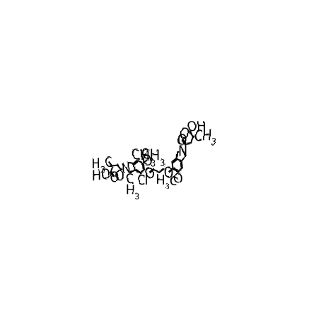 COc1cc2c(cc1OCCCOc1c(Cl)c3c(c(C)c1OC)CN(C(=O)CC(C)C(=O)O)C3C)CN(C(=O)CC(C)C(=O)O)C2